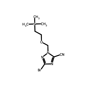 C[Si](C)(C)CCOCn1nc(Br)nc1C#N